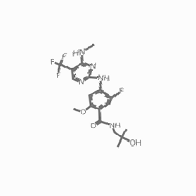 CNc1nc(Nc2cc(OC)c(C(=O)NCC(C)(C)O)cc2F)ncc1C(F)(F)F